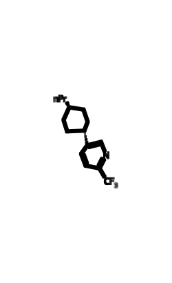 CCC[C@H]1CC[C@H](c2ccc(C(F)(F)F)nc2)CC1